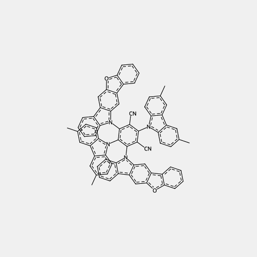 Cc1ccc2c(c1)c1cc(C)ccc1n2-c1c(C#N)c(-n2c3ccccc3c3cc4oc5ccccc5c4cc32)c(-n2c3ccc(C)cc3c3cc(C)ccc32)c(-n2c3ccccc3c3cc4oc5ccccc5c4cc32)c1C#N